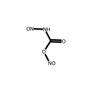 O=NNC(=O)ON=O